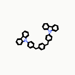 c1ccc2c(c1)c1ccccc1n2-c1ccc(Cc2ccc(Cc3ccc(-n4c5ccccc5c5ccccc54)cc3)cc2)cc1